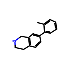 Cc1ccccc1-c1ccc2c(c1)CNCC2